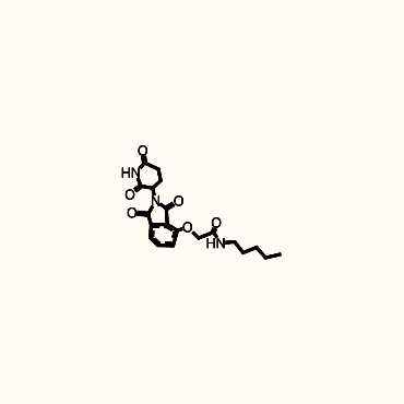 CCCCCNC(=O)COc1cccc2c1C(=O)N(C1CCC(=O)NC1=O)C2=O